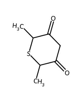 CC1SC(C)C(=O)CC1=O